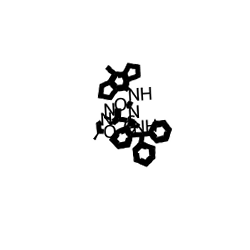 Cc1c2c(c(NC(=O)N=S(=O)(NC(c3ccccc3)(c3ccccc3)c3ccccc3)c3cnn4c3O[C@@H](C)C4)c3c1CCC3)CCC2